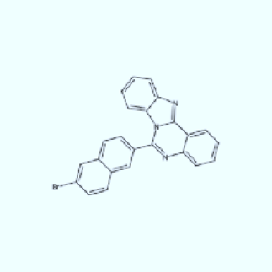 Brc1ccc2cc(-c3nc4ccccc4c4nc5ccccc5n34)ccc2c1